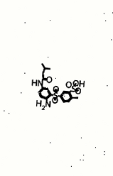 Cc1ccc(S(=O)(=O)c2cc(NC(=O)CC(C)C)ccc2N)cc1S(=O)(=O)O